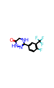 O=C1CNC(c2ccc(F)c(C(F)(F)F)c2)=NN1